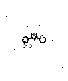 O=Cc1cccc(-c2nnn(C3CCCCO3)n2)c1